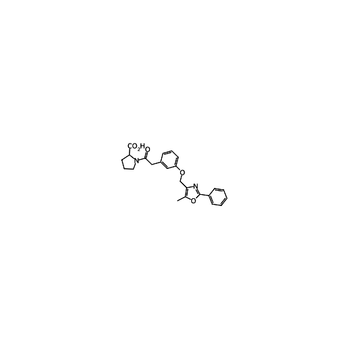 Cc1oc(-c2ccccc2)nc1COc1cccc(CC(=O)N2CCCC2C(=O)O)c1